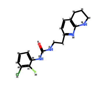 O=C(NCCc1ccc2c(n1)NCCC2)Nc1cccc(Cl)c1F